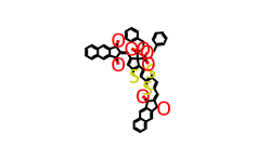 O=C1C(=CC2=Cc3sc4c(sc5cc(C=C6C(=O)c7cc8ccccc8cc7C6=O)sc54)c3C2(C(=O)OCc2ccccc2)C(=O)OCc2ccccc2)C(=O)c2cc3ccccc3cc21